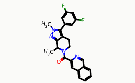 CC1c2nn(C)c(-c3cc(F)cc(F)c3)c2CCN1C(=O)c1cc2ccccc2cn1